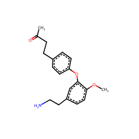 COc1ccc(CCN)cc1Oc1ccc(CCC(C)=O)cc1